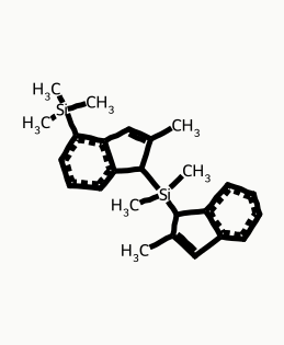 CC1=Cc2ccccc2C1[Si](C)(C)C1C(C)=Cc2c1cccc2[Si](C)(C)C